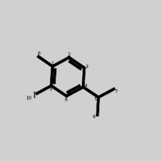 Cc1ccc(C(C)C)cc1I